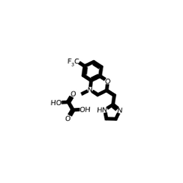 CN1CC(CC2=NCCN2)Oc2ccc(C(F)(F)F)cc21.O=C(O)C(=O)O